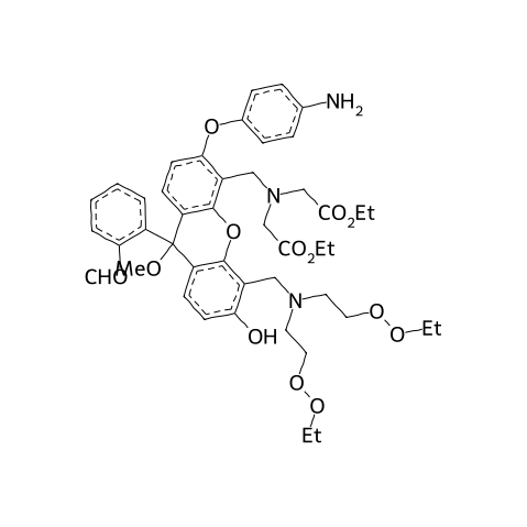 CCOOCCN(CCOOCC)Cc1c(O)ccc2c1Oc1c(ccc(Oc3ccc(N)cc3)c1CN(CC(=O)OCC)CC(=O)OCC)C2(OC)c1ccccc1C=O